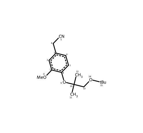 COc1cc(CC#N)ccc1OC(C)(C)COC(C)(C)C